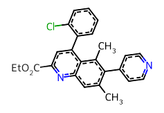 CCOC(=O)c1cc(-c2ccccc2Cl)c2c(C)c(-c3ccncc3)c(C)cc2n1